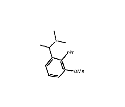 CCCc1c(OC)cccc1C(C)N(C)C